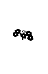 Cc1cc(-c2cccc3ccccc23)c(O)c(-c2cccc3ccccc23)c1